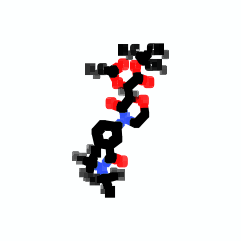 [2H]C([2H])([2H])N(C(=O)c1cccc(N2CCO[C@H]([C@@H](OC(C)=O)C(=O)OC(C)(C)C)C2=O)c1)C([2H])([2H])[2H]